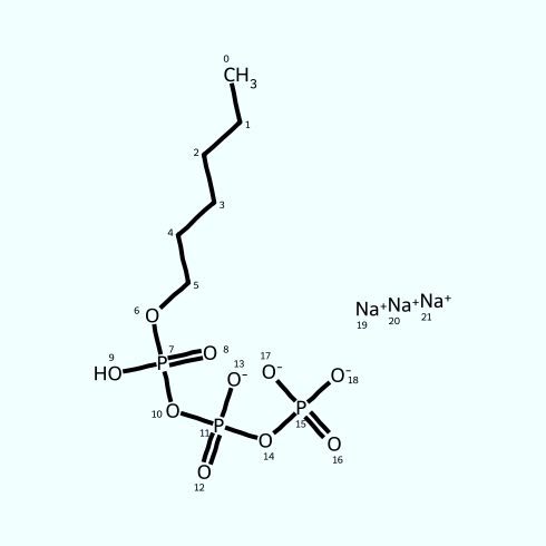 CCCCCCOP(=O)(O)OP(=O)([O-])OP(=O)([O-])[O-].[Na+].[Na+].[Na+]